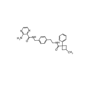 CC1CC(C(=O)NCCc2ccc(CNC(=O)c3nccnc3N)cc2)(c2ccccc2)C1